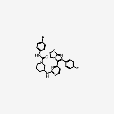 O=C(Nc1ccc(F)cc1)N1CCCC(Nc2nccc(-c3c(-c4ccc(F)cc4)nc4n3CCS4)n2)C1